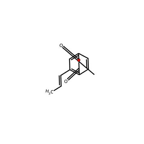 CC=Cc1cc2ccc1c(=O)oc2=O